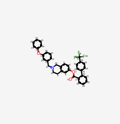 O=C(Oc1ccc2c(c1)CCN(Cc1cccc(Oc3ccccc3)c1)C2)c1ccccc1-c1ccc(C(F)(F)F)cc1